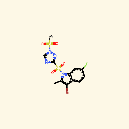 Cc1c(Br)c2ccc(F)cc2n1S(=O)(=O)c1ncn(S(=O)(=O)C(C)C)n1